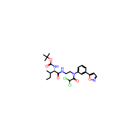 CCC(C)[C@H](NC(=O)OC(C)(C)C)C(=O)NCCN(C(=O)C(Cl)Cl)c1cccc(-c2ccno2)c1